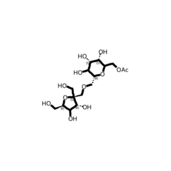 CC(=O)OCC1O[C@H](COC[C@]2(CO)O[C@H](CO)C(O)[C@H]2O)C(O)[C@H](O)[C@@H]1O